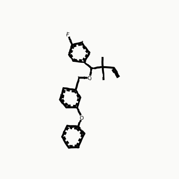 C=CC(C)(C)C(OCc1cccc(Oc2ccccc2)c1)c1ccc(F)cc1